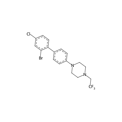 FC(F)(F)CN1CCN(c2ccc(-c3ccc(Cl)cc3Br)cc2)CC1